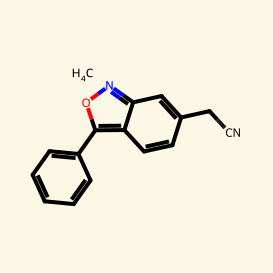 C.N#CCc1ccc2c(-c3ccccc3)onc2c1